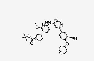 COc1nc(Nc2cc(-c3ccc(OC4CCOCC4)c(C#N)c3)ncn2)ccc1[C@@H]1CCN(C(=O)OC(C)(C)C)C1